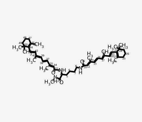 CNC(=O)C(CCCCNC(=O)/C=C(C)/C=C/C=C(C)/C=C/C1=C(C)CCCC1(C)C)NC(=O)/C=C(C)/C=C/C=C(C)/C=C/C1=C(C)CCCC1(C)C